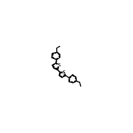 CCc1ccc(-c2ccc(-c3ccc(-c4ccc(CC)cc4)s3)s2)cc1